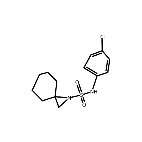 O=S(=O)(Nc1ccc(Cl)cc1)N1CC12CCCCC2